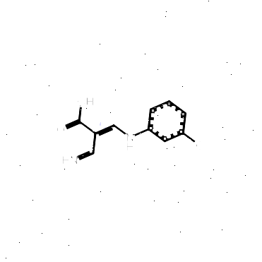 N=C/C(=C\Nc1cccc(Cl)c1)C(=O)O